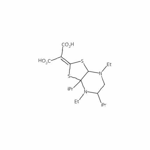 CCN1CC(C(C)C)N(CC)C2(C(C)C)SC(=C(C(=O)O)C(=O)O)SC12